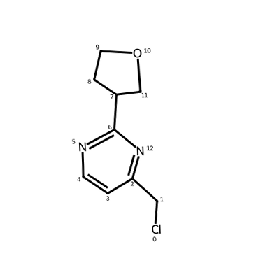 ClCc1ccnc(C2CCOC2)n1